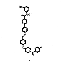 Cc1ccc(C(=O)N2CCC(Oc3ccc(COc4ccc(-c5ccc(C(=O)Nc6cccc(Br)c6)cc5)cc4)cc3)CC2)cc1